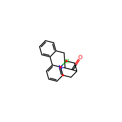 O=C1C2CCN(CC2)C1Cc1ccccc1-c1ccccc1Cl